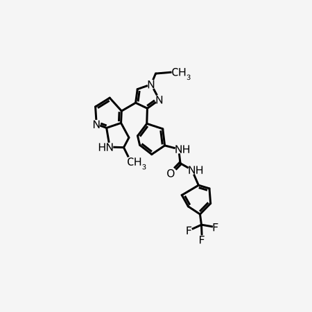 CCn1cc(-c2ccnc3c2CC(C)N3)c(-c2cccc(NC(=O)Nc3ccc(C(F)(F)F)cc3)c2)n1